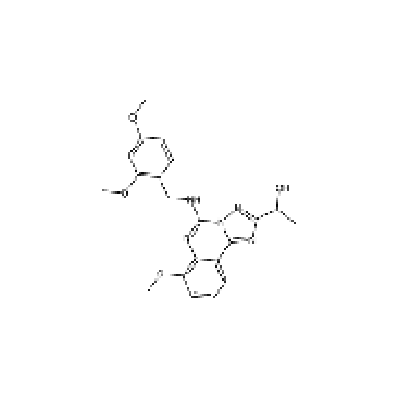 COc1ccc(CNc2nc3c(OC)cccc3c3nc(C(C)O)nn23)c(OC)c1